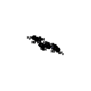 Nc1ccc2cc(S(=O)(=O)O)c(/N=N/c3ccc(S(=O)(=O)O)c(/C=C/c4ccc(/N=N/c5c(S(=O)(=O)O)cc6ccc(N)cc6c5O)cc4S(=O)(=O)O)c3)c(O)c2c1